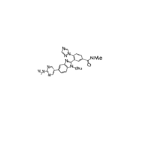 CNC(=O)c1ccc(-n2cncn2)c(-c2nc3cc(-c4cnc(N)nc4)ccc3n2C(C)(C)C)c1